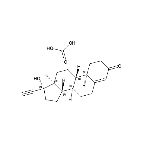 C#C[C@]1(O)CC[C@H]2[C@@H]3CCC4=CC(=O)CC[C@@H]4[C@H]3CC[C@@]21C.O=C(O)O